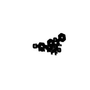 C[C@H](NC(=O)C(F)(F)F)[C@@H](Oc1ccc2c(cnn2-c2ccc(Cl)nn2)c1)c1ccccc1